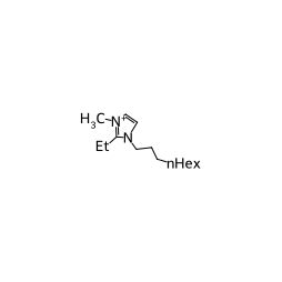 CCCCCCCCCn1cc[n+](C)c1CC